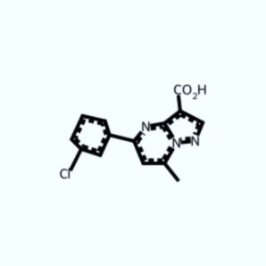 Cc1cc(-c2cccc(Cl)c2)nc2c(C(=O)O)cnn12